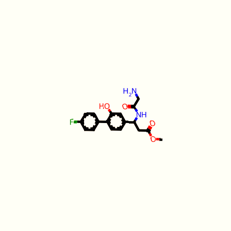 COC(=O)CC(NC(=O)CN)c1ccc(-c2ccc(F)cc2)c(O)c1